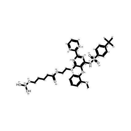 COc1ccccc1Oc1c(NS(=O)(=O)c2ccc(C(C)(C)C)cc2)nc(-c2ncccn2)nc1OCCOC(=O)CCCCON(O)O